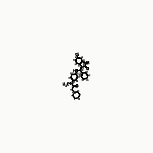 CN(C(=O)CN1CCCCC1)c1ccc(NC(=C2C(=O)Nc3cc(Cl)ccc32)c2ccccc2)cc1